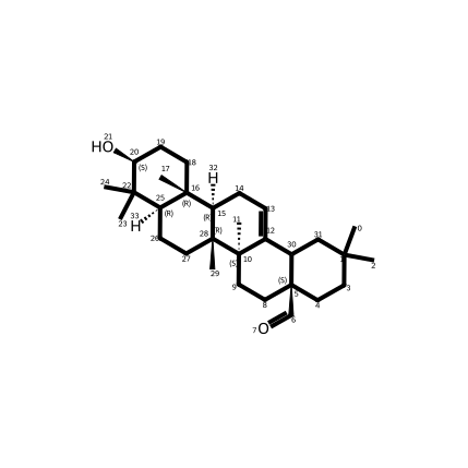 CC1(C)CC[C@]2(C=O)CC[C@]3(C)C(=CC[C@@H]4[C@@]5(C)CC[C@H](O)C(C)(C)[C@@H]5CC[C@]43C)C2C1